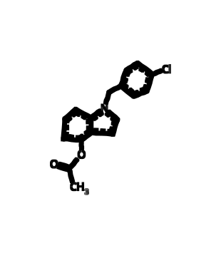 CC(=O)Oc1cccc2c1ccn2Cc1ccc(Cl)cc1